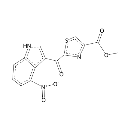 COC(=O)c1csc(C(=O)c2c[nH]c3cccc([N+](=O)[O-])c23)n1